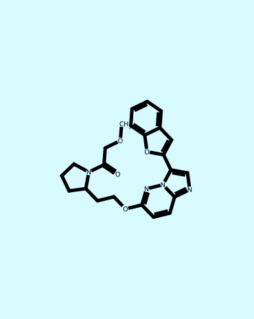 COCC(=O)N1CCCC1CCOc1ccc2ncc(-c3cc4ccccc4o3)n2n1